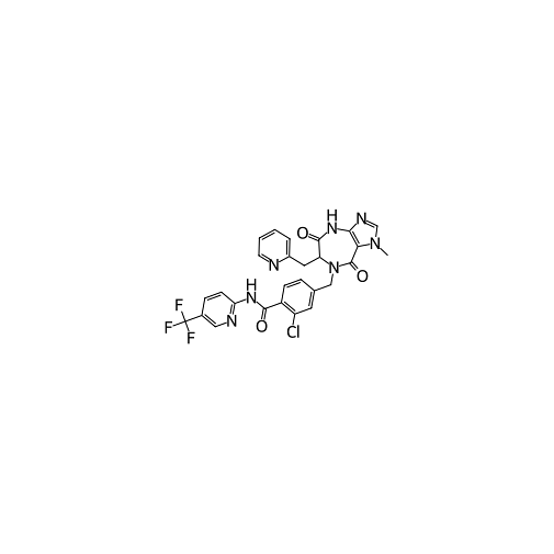 Cn1cnc2c1C(=O)N(Cc1ccc(C(=O)Nc3ccc(C(F)(F)F)cn3)c(Cl)c1)C(Cc1ccccn1)C(=O)N2